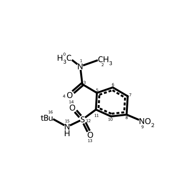 CN(C)C(=O)c1ccc([N+](=O)[O-])cc1S(=O)(=O)NC(C)(C)C